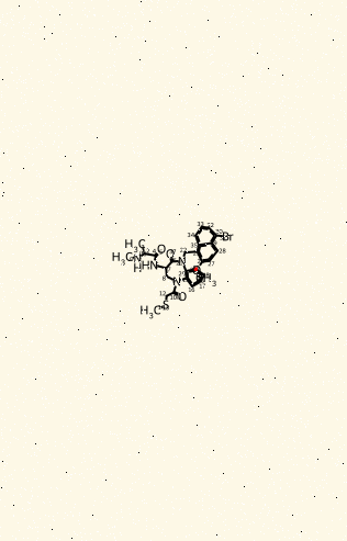 CN[C@@H](C)C(=O)NC1CN(C(=O)CSC)c2ccccc2N(Cc2c(OC)ccc3c(Br)cccc23)C1=O